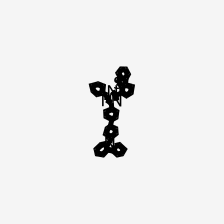 c1ccc(-c2nc(-c3ccc(-c4ccc(-n5c6ccccc6c6ccccc65)cc4)cc3)nc(-c3cccc4c3sc3ccccc34)n2)cc1